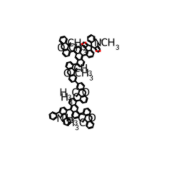 CCN1c2ccccc2C2(c3ccccc3-c3c(-c4c5cccc(-c6cccc7c6C(C)(C)c6ccccc6O7)c5cc5c(-c6cccc7c6C(C)(C)c6cc(-c8ccc9c(c8)C(C)(C)c8c(cccc8-c8cccc%10c(-c%11ccc%12c%13ccccc%13n%13c%14ccccc%14c%11c%12%13)c%11cccc(-c%12cccc%13c%12C(C)(C)c%12ccccc%12O%13)c%11cc8%10)O9)ccc6O7)cccc45)cccc32)c2ccccc21